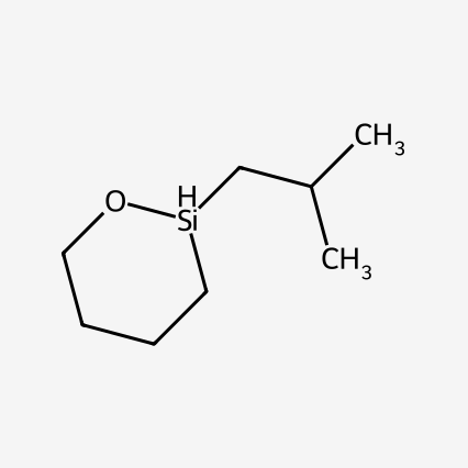 CC(C)C[SiH]1CCCCO1